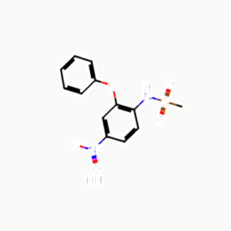 CS(=O)(=O)Nc1ccc([N+](=O)[O-])cc1Oc1ccccc1.[HH]